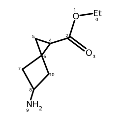 CCOC(=O)C1CC12CC(N)C2